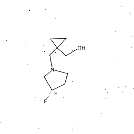 OCC1(CN2CC[C@H](F)C2)CC1